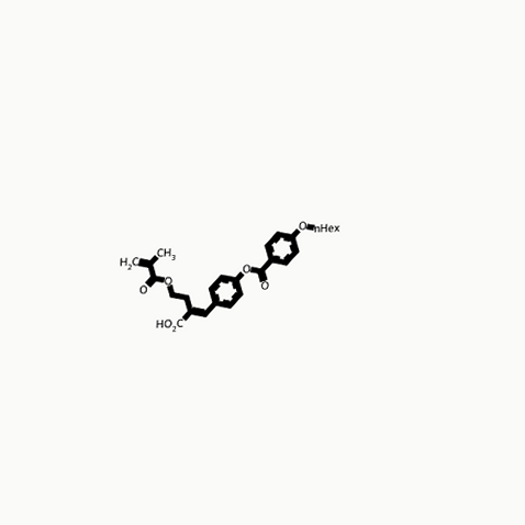 C=C(C)C(=O)OCCC(=Cc1ccc(OC(=O)c2ccc(OCCCCCC)cc2)cc1)C(=O)O